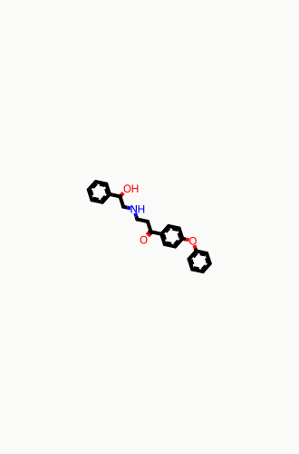 O=C(CCNCC(O)c1ccccc1)c1ccc(Oc2ccccc2)cc1